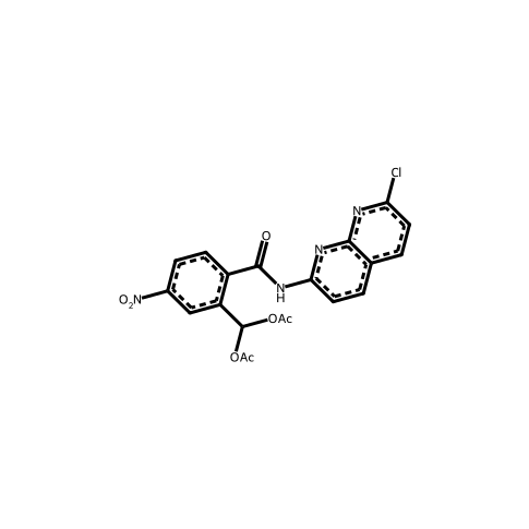 CC(=O)OC(OC(C)=O)c1cc([N+](=O)[O-])ccc1C(=O)Nc1ccc2ccc(Cl)nc2n1